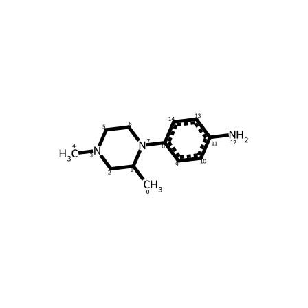 CC1CN(C)CCN1c1ccc(N)cc1